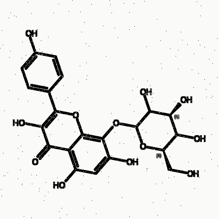 O=c1c(O)c(-c2ccc(O)cc2)oc2c(OC3O[C@H](CO)C(O)[C@H](O)C3O)c(O)cc(O)c12